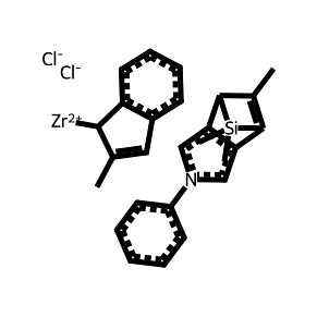 CC1=C2c3cn(-c4ccccc4)cc3C1[Si]2(C)C.CC1=Cc2ccccc2[CH]1[Zr+2].[Cl-].[Cl-]